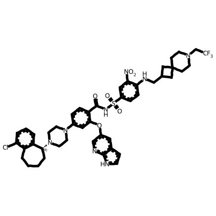 O=C(NS(=O)(=O)c1ccc(NCC2CC3(CCN(CC(F)(F)F)CC3)C2)c([N+](=O)[O-])c1)c1ccc(N2CCN([C@@H]3CCCCc4c(Cl)cccc43)CC2)cc1Oc1cnc2[nH]ccc2c1